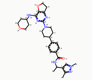 Cc1nn(C)cc1C(C)NC(=O)c1ccc(C2CCN(c3nc4c(c(NC5CCOCC5)n3)OCC4)CC2)cc1